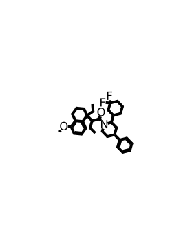 CCC(C(=O)N1CCC(c2ccccc2)CC1C1CCCC(F)(F)C1)C1(CC)CCCc2c(OC)cccc21